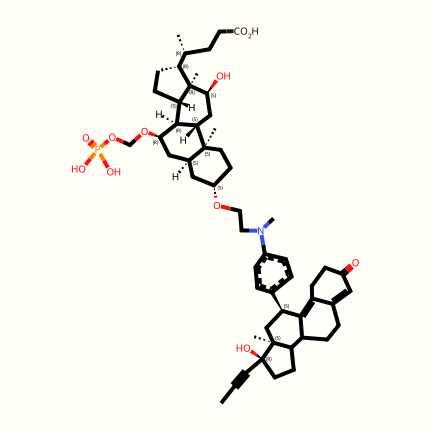 CC#C[C@@]1(O)CCC2C3CCC4=CC(=O)CCC4=C3[C@H](c3ccc(N(C)CCO[C@H]4CC[C@@]5(C)[C@@H](C4)C[C@@H](OCOP(=O)(O)O)[C@@H]4[C@@H]5C[C@H](O)[C@]5(C)[C@@H]([C@H](C)CCC(=O)O)CC[C@@H]45)cc3)C[C@@]21C